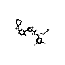 Cc1cnc(NC2CCOCC2)nc1-c1c[nH]c(C(=O)N[C@H](CN=[N+]=[N-])c2cc(F)cc(Cl)c2)c1